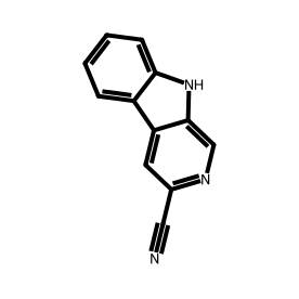 N#Cc1cc2c(cn1)[nH]c1ccccc12